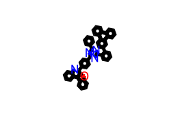 c1ccc(-c2nc(-c3ccc(-c4nc5ccccc5c5c4oc4ccccc45)cc3)nc(-c3ccccc3-c3ccc4c5ccccc5c5ccccc5c4c3)n2)cc1